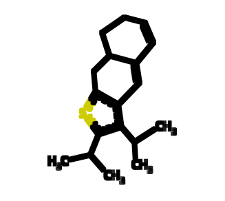 CC(C)c1sc2c(c1C(C)C)C=C1C=CCCC1C2